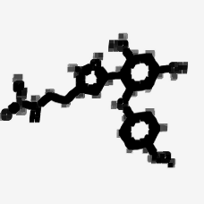 O=[N+]([O-])c1ccc(Oc2cc(O)cc(O)c2-c2cc(CCN[SH](=O)=O)no2)cc1